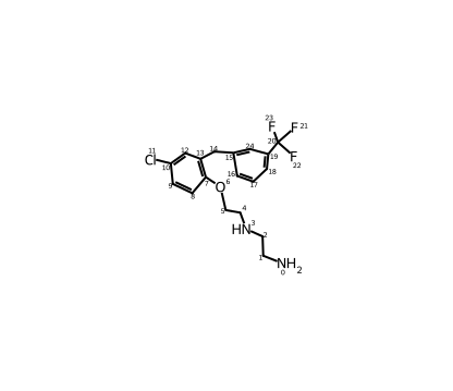 NCCNCCOc1ccc(Cl)cc1Cc1cccc(C(F)(F)F)c1